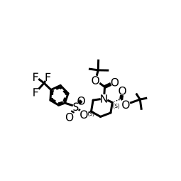 CC(C)(C)OC(=O)[C@@H]1CC[C@H](OS(=O)(=O)c2ccc(C(F)(F)F)cc2)CN1C(=O)OC(C)(C)C